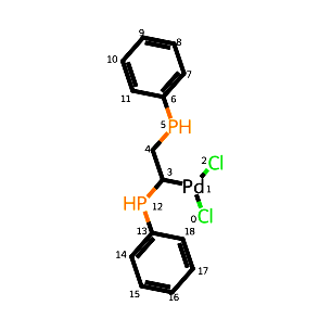 [Cl][Pd]([Cl])[CH](CPc1ccccc1)Pc1ccccc1